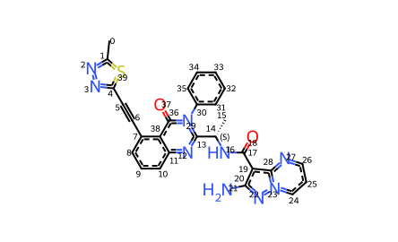 Cc1nnc(C#Cc2cccc3nc([C@H](C)NC(=O)c4c(N)nn5cccnc45)n(-c4ccccc4)c(=O)c23)s1